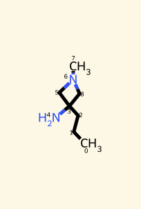 CCCC1(N)CN(C)C1